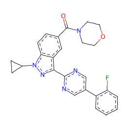 O=C(c1ccc2c(c1)c(-c1ncc(-c3ccccc3F)cn1)nn2C1CC1)N1CCOCC1